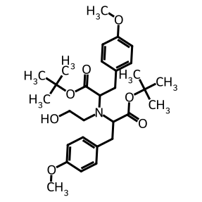 COc1ccc(CC(C(=O)OC(C)(C)C)N(CCO)C(Cc2ccc(OC)cc2)C(=O)OC(C)(C)C)cc1